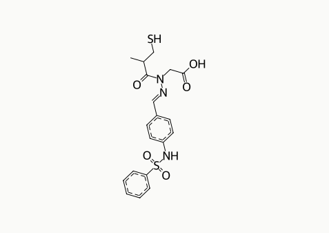 CC(CS)C(=O)N(CC(=O)O)N=Cc1ccc(NS(=O)(=O)c2ccccc2)cc1